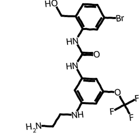 NCCNc1cc(NC(=O)Nc2cc(Br)ccc2CO)cc(OC(F)(F)F)c1